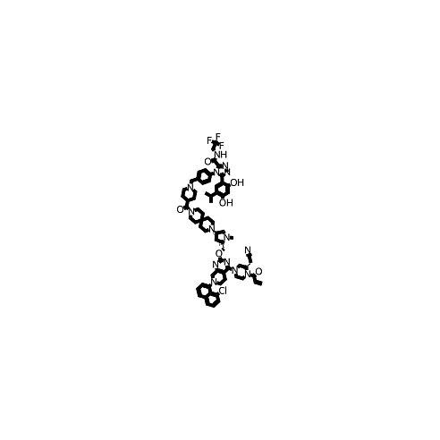 C=CC(=O)N1CCN(c2nc(OC[C@@H]3C[C@H](N4CCC5(CCN(C(=O)C6CCN(Cc7ccc(-n8c(C(=O)NCC(F)(F)F)nnc8-c8cc(C(C)C)c(O)cc8O)cc7)CC6)CC5)CC4)CN3C)nc3c2CCN(c2cccc4cccc(Cl)c24)C3)C[C@@H]1CC#N